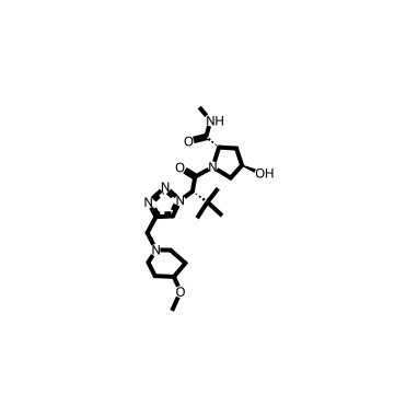 CNC(=O)[C@@H]1C[C@@H](O)CN1C(=O)[C@@H](n1cc(CN2CCC(OC)CC2)nn1)C(C)(C)C